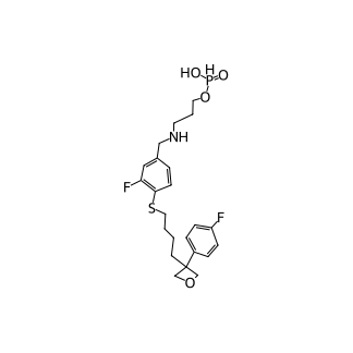 O=[PH](O)OCCCNCc1ccc(SCCCCC2(c3ccc(F)cc3)COC2)c(F)c1